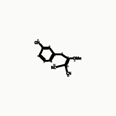 COC(Cc1cccc(N=O)c1)=C(C#N)C#N